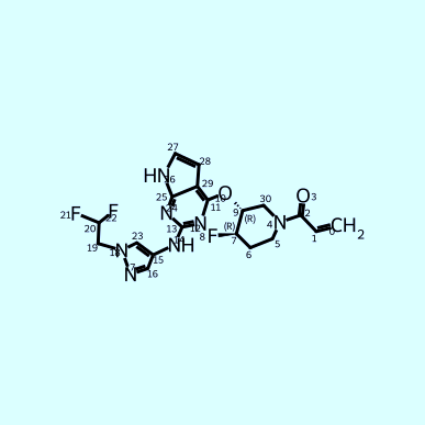 C=CC(=O)N1CC[C@@H](F)[C@H](Oc2nc(Nc3cnn(CC(F)F)c3)nc3[nH]ccc23)C1